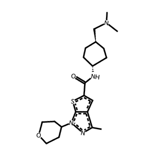 Cc1nn(C2CCOCC2)c2sc(C(=O)N[C@H]3CC[C@H](CN(C)C)CC3)cc12